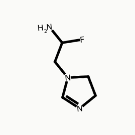 NC(F)CN1C=NCC1